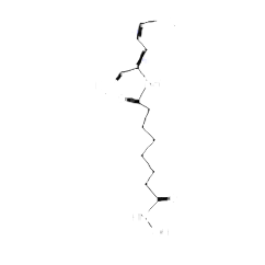 C=C/C(=C\C=C/C)NC(=O)CCCCCCC(=O)NO